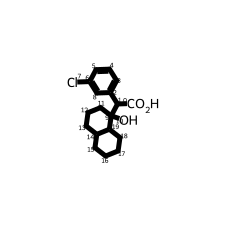 O=C(O)C(c1cccc(Cl)c1)C1(O)CCCC2CCCCC21